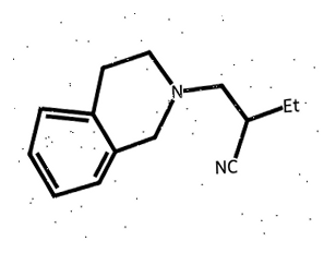 CCC(C#N)CN1CCc2ccccc2C1